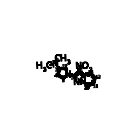 CN(C)C1CCN(c2nn3ccccc3c2[N+](=O)[O-])C1